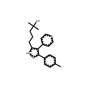 CC(C)(O)CCCc1[nH]nc(-c2ccc(F)cc2)c1-c1ccncc1